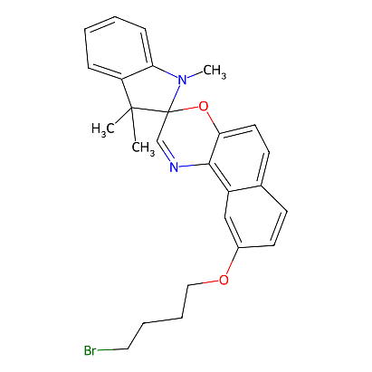 CN1c2ccccc2C(C)(C)C12C=Nc1c(ccc3ccc(OCCCCBr)cc13)O2